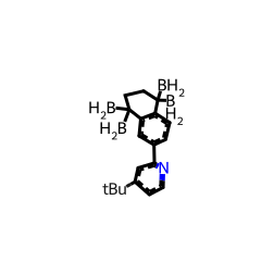 BC1(B)CCC(B)(B)c2cc(-c3cc(C(C)(C)C)ccn3)ccc21